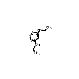 CCNc1cc(NCC)nnn1